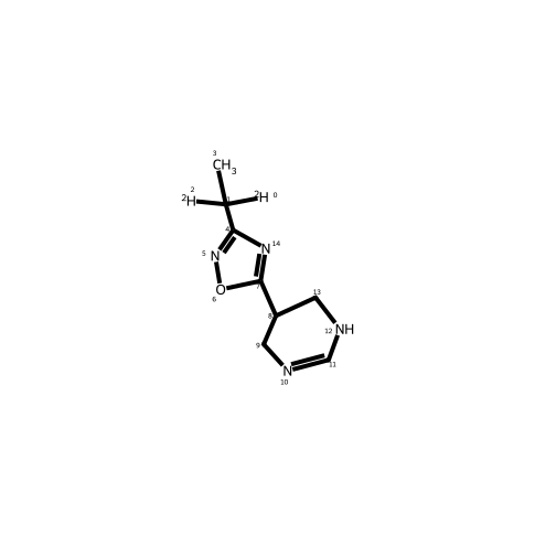 [2H]C([2H])(C)c1noc(C2CN=CNC2)n1